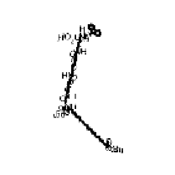 CC(C)(C)OC(=O)CCCCCCCCCCCCCCCCCCC(=O)N[C@@H](CCC(=O)NCCOCCOCC(=O)NCCOCCOCC(=O)NCCCC[C@H](NC(=O)OCC1c2ccccc2-c2ccccc21)C(=O)O)C(=O)OC(C)(C)C